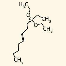 CCCCC=CCC[Si](CC)(OCC)OCC